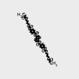 C=CC(=O)OCCCCOC(=O)Oc1ccc(C(=O)O[C@H]2COC3C2OC[C@@H]3OC(=O)c2ccc(OC(=O)OCCCCOC(=O)C=C)cc2)cc1